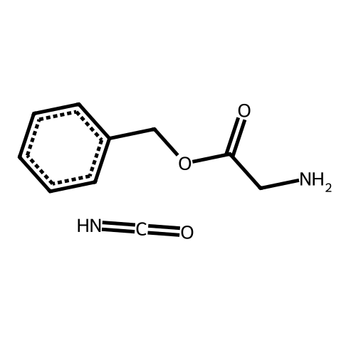 N=C=O.NCC(=O)OCc1ccccc1